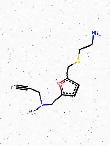 C#CCN(C)Cc1ccc(CSCCN)o1